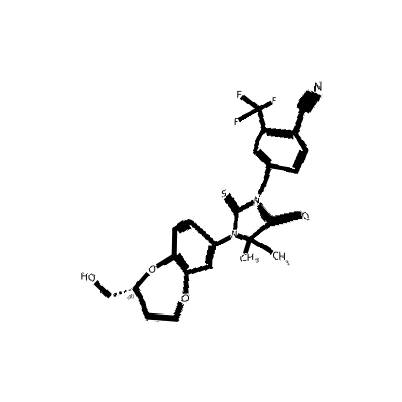 CC1(C)C(=O)N(c2ccc(C#N)c(C(F)(F)F)c2)C(=S)N1c1ccc2c(c1)OCC[C@H](CO)O2